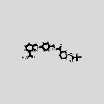 CC(C)(C)C(=O)ON1CCCC(C(=O)NCc2ccc(-n3cc4cccc(C(N)=O)c4n3)cc2)C1